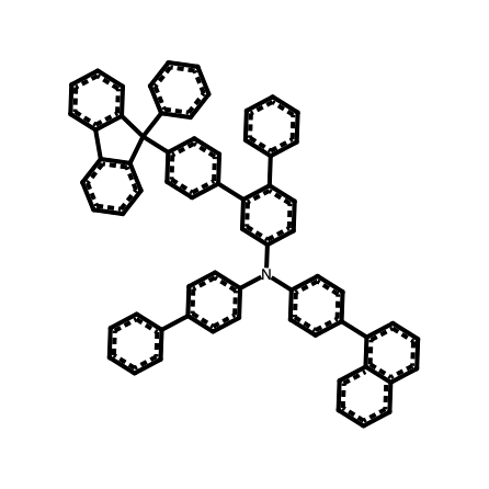 c1ccc(-c2ccc(N(c3ccc(-c4cccc5ccccc45)cc3)c3ccc(-c4ccccc4)c(-c4ccc(C5(c6ccccc6)c6ccccc6-c6ccccc65)cc4)c3)cc2)cc1